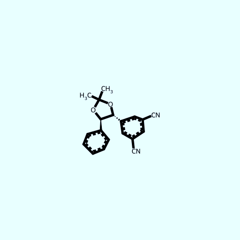 CC1(C)O[C@H](c2ccccc2)[C@@H](c2cc(C#N)cc(C#N)c2)O1